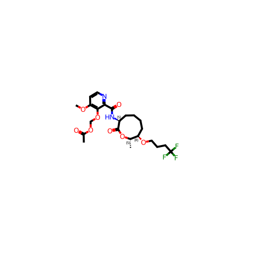 COc1ccnc(C(=O)N[C@H]2CCCC[C@@H](OCCCC(F)(F)F)[C@H](C)OC2=O)c1OCOC(C)=O